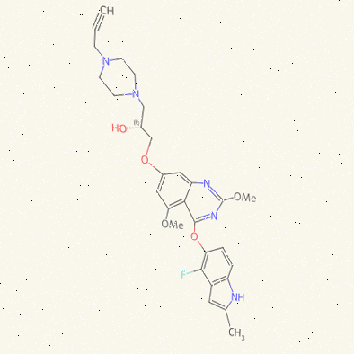 C#CCN1CCN(C[C@@H](O)COc2cc(OC)c3c(Oc4ccc5[nH]c(C)cc5c4F)nc(OC)nc3c2)CC1